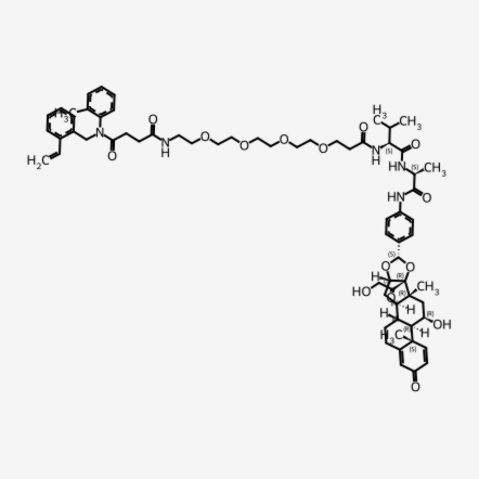 C=Cc1ccccc1CN(C(=O)CCC(=O)NCCOCCOCCOCCOCCC(=O)N[C@H](C(=O)N[C@@H](C)C(=O)Nc1ccc([C@H]2O[C@H]3C[C@@H]4[C@H]5CCC6=CC(=O)C=C[C@@]6(C)[C@@H]5[C@H](O)C[C@@]4(C)[C@@]3(C(=O)CO)O2)cc1)C(C)C)c1ccccc1C